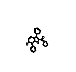 O=C(c1sc2c(ccc(=O)n2-c2ccccc2)c1-c1ccccc1)N1CCCC1